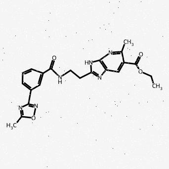 CCOC(=O)c1cc2nc(CCNC(=O)c3cccc(-c4noc(C)n4)c3)[nH]c2nc1C